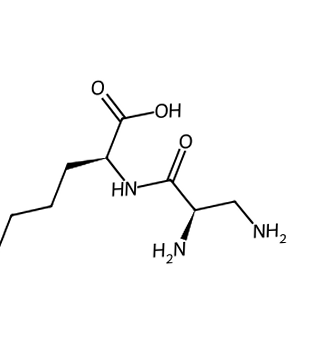 CCCC[C@H](NC(=O)[C@H](N)CN)C(=O)O